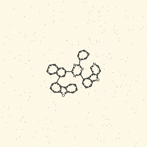 c1ccc(-c2nc(-c3cc(-c4cccc5oc6ccccc6c45)c4ccccc4c3)nc(-c3cccc4oc5ccncc5c34)n2)cc1